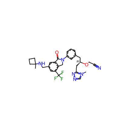 Cn1cnnc1C[C@@H](Cc1cccc(N2Cc3c(cc(CNC4(C)CCC4)cc3C(F)(F)F)C2=O)c1)OCC#N